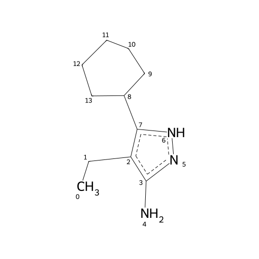 CCc1c(N)n[nH]c1C1CCCCC1